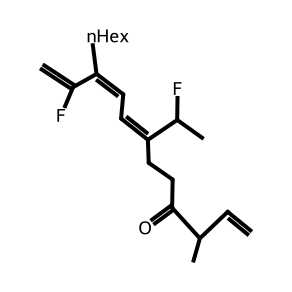 C=CC(C)C(=O)CC/C(=C/C=C(/CCCCCC)C(=C)F)C(C)F